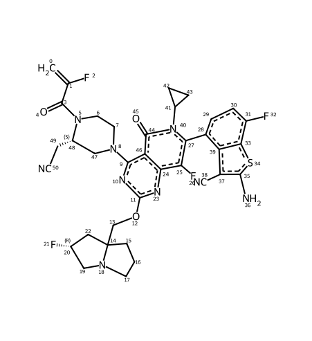 C=C(F)C(=O)N1CCN(c2nc(OCC34CCCN3C[C@H](F)C4)nc3c(F)c(-c4ccc(F)c5sc(N)c(C#N)c45)n(C4CC4)c(=O)c23)C[C@@H]1CC#N